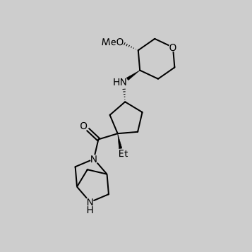 CC[C@]1(C(=O)N2CC3CC2CN3)CC[C@@H](N[C@@H]2CCOC[C@H]2OC)C1